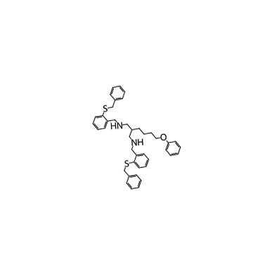 c1ccc(CSc2ccccc2CNCC(CCCCOc2ccccc2)CNCc2ccccc2SCc2ccccc2)cc1